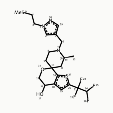 CSCCn1cc(CN2CCC3(C[C@@H]2C)OCC(O)c2cc(C(F)(F)C(F)F)sc23)cn1